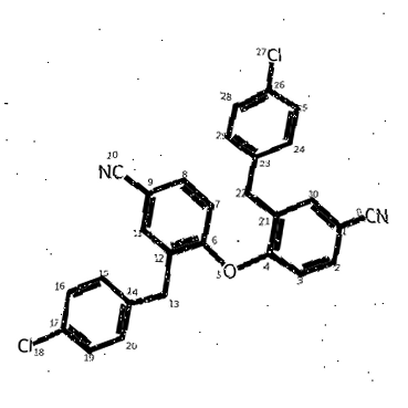 N#Cc1ccc(Oc2ccc(C#N)cc2Cc2ccc(Cl)cc2)c(Cc2ccc(Cl)cc2)c1